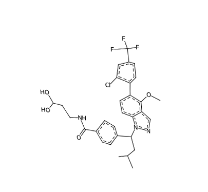 COc1c(-c2ccc(C(F)(F)F)cc2Cl)ccc2c1cnn2C(CC(C)C)c1ccc(C(=O)NCCC(O)O)cc1